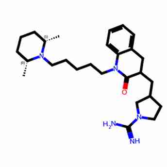 C[C@@H]1CCC[C@H](C)N1CCCCCN1C(=O)C(CC2CCN(C(=N)N)C2)Cc2ccccc21